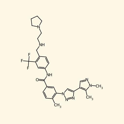 Cc1ccc(C(=O)Nc2ccc(CNCCN3CCCC3)c(C(F)(F)F)c2)cc1-n1cc(-c2cnn(C)c2C)nn1